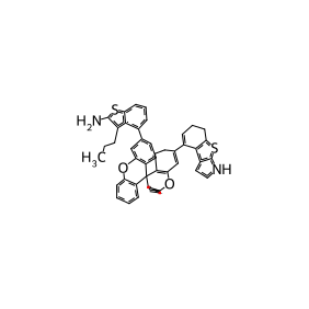 CCCc1c(N)sc2cccc(-c3ccc4c(c3)Oc3ccccc3C43C4=CC=CCC4OC4=C3CCC(C3=CCCc5sc6[nH]ccc6c53)=C4)c12